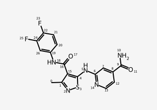 Cc1nsc(Nc2cc(C(N)=O)ccn2)c1C(=O)Nc1ccc(F)c(F)c1